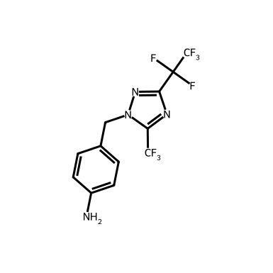 Nc1ccc(Cn2nc(C(F)(F)C(F)(F)F)nc2C(F)(F)F)cc1